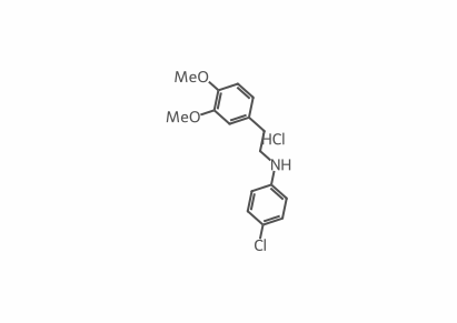 COc1ccc(CCNc2ccc(Cl)cc2)cc1OC.Cl